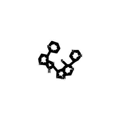 Fc1c(-c2cncnc2)ncc2[nH]nc(-c3nc4c(-c5ccccn5)ccnc4[nH]3)c12